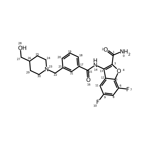 NC(=O)c1oc2c(F)cc(F)cc2c1NC(=O)c1cccc(CN2CCC(CO)CC2)c1